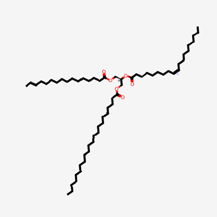 CCCCCCCCC/C=C\CCCCCCCC(=O)O[C@H](COC(=O)CCCCCCCCCCCCCCC)COC(=O)CCCCCCCCCCCCCCCCCCCCC